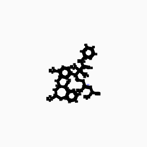 CCN(N)/C=C(\N)COC(c1ccc(C)c(CN2CC(C)Cc3ccncc3[S+]2[O-])c1)C(C)(C)C(=O)Nc1cccnc1